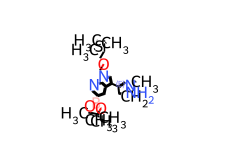 C=C/C(=C\N(C)N)c1cn(COCC[Si](C)(C)C)c2ncc(B3OC(C)(C)C(C)(C)O3)cc12